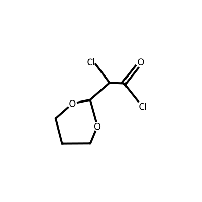 O=C(Cl)C(Cl)C1OCCCO1